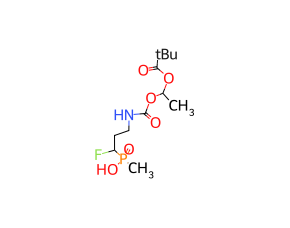 CC(OC(=O)NCCC(F)P(C)(=O)O)OC(=O)C(C)(C)C